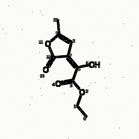 CCOC(=O)C(O)=C1C=C(C)OC1=O